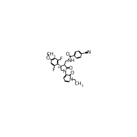 CCn1cccc(N2C[C@@H](c3c(F)cc(OC)cc3F)C(CNC(=O)c3ccc(C#N)cc3)C2=O)c1=O